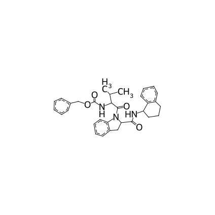 CC(C)C(NC(=O)OCc1ccccc1)C(=O)N1c2ccccc2CC1C(=O)NC1CCCc2ccccc21